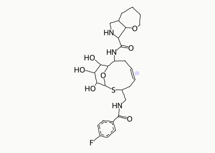 O=C(NCC1C/C=C\CC(NC(=O)C2NCC3CCCCOC32)C2OC(S1)C(O)C(O)C2O)c1ccc(F)cc1